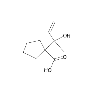 C=CC(C)(O)C1(C(=O)O)CCCC1